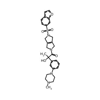 CN1CCN(c2cccc(C(C)(O)C(=O)N3CC4=C(C3)CN(S(=O)(=O)c3ccc5ccoc5c3)C4)c2)CC1